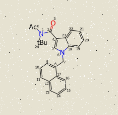 CC(=O)N(C(=O)c1cn(Cc2cccc3ccccc23)c2ccccc12)C(C)(C)C